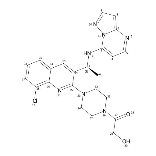 C[C@H](Nc1ccnc2ccnn12)c1cc2cccc(Cl)c2nc1N1CCN(C(=O)CO)CC1